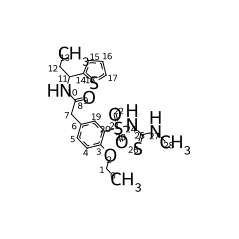 CCOc1ccc(CC(=O)NC(CC)c2cccs2)cc1S(=O)(=O)NC(=S)NC